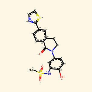 CS(=O)(=O)Nc1cc(N2CCc3cc(-c4nccs4)ccc3C2=O)ccc1O